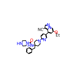 CCOc1cc(-c2ccc(N3CCC(Cc4ccccc4)(NC(=O)N4CCNCC4)CC3)nc2)c2c(C#N)cnn2c1